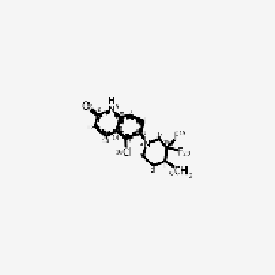 CC1CCN(c2ccc3[nH]c(=O)ccc3c2Cl)CC1(F)F